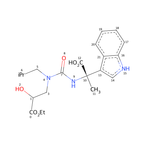 CCOC(=O)C(O)CN(CC(C)C)C(=O)N[C@](C)(C(=O)O)c1c[nH]c2ccccc12